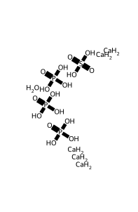 O.O=P(O)(O)O.O=P(O)(O)O.O=P(O)(O)O.O=S(=O)(O)O.[CaH2].[CaH2].[CaH2].[CaH2].[CaH2]